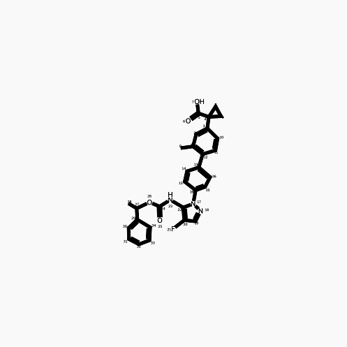 Cc1cc(C2(C(=O)O)CC2)ccc1-c1ccc(-n2ncc(F)c2NC(=O)OC(C)c2ccccc2)cc1